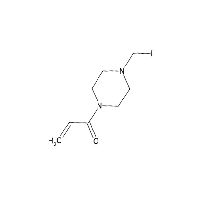 C=CC(=O)N1CCN(CI)CC1